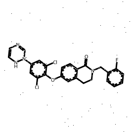 O=C1c2ccc(Oc3c(Cl)cc(N4C=NC=CN4)cc3Cl)cc2CCN1Cc1ccccc1F